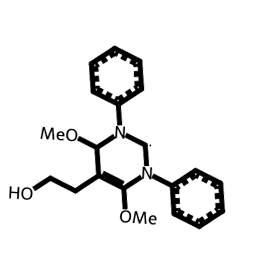 COC1=C(CCO)C(OC)N(c2ccccc2)[CH]N1c1ccccc1